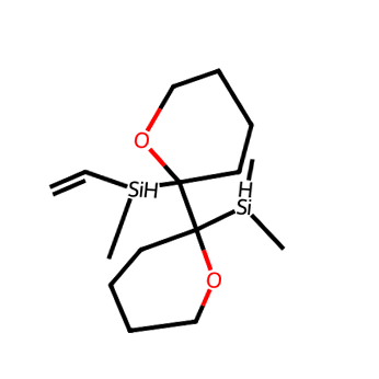 C=C[SiH](C)C1(C2([SiH](C)C)CCCCO2)CCCCO1